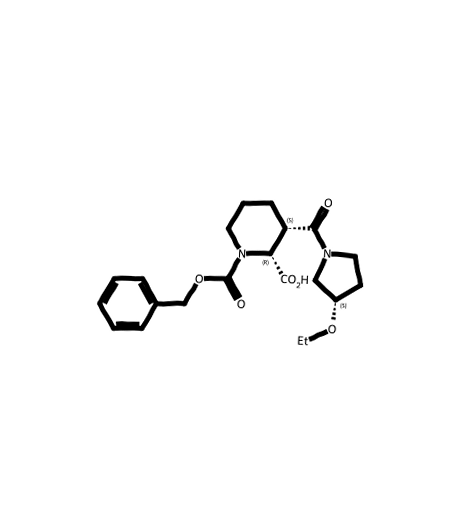 CCO[C@H]1CCN(C(=O)[C@H]2CCCN(C(=O)OCc3ccccc3)[C@H]2C(=O)O)C1